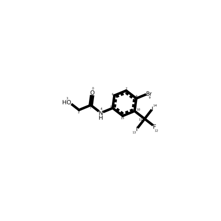 O=C(CO)Nc1ccc(Br)c(C(F)(I)I)c1